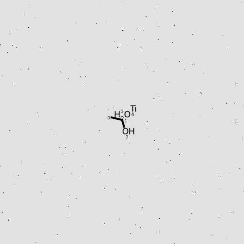 CCO.O.[Ti]